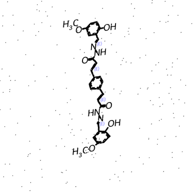 COc1ccc(O)c(/C=N/NC(=O)/C=C/c2ccc(/C=C/C(=O)N/N=C/c3cc(OC)ccc3O)cc2)c1